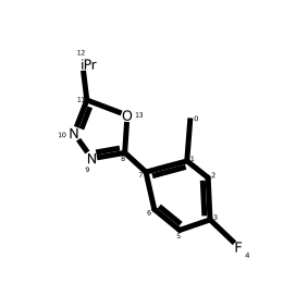 Cc1cc(F)ccc1-c1nnc(C(C)C)o1